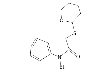 CCN(C(=O)CSC1CCCCO1)c1ccccc1